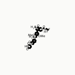 COc1cc(-c2cn(C)c(=O)c3c2CCN(C(=O)NCC(F)F)C3)cc(OC)c1CN(C)c1ccc2c(c1)C(=O)N(C1CCC(=O)NC1=O)C2